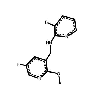 COc1ncc(F)cc1CNc1ncccc1F